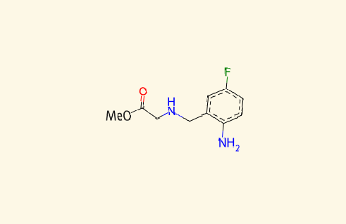 COC(=O)CNCc1cc(F)ccc1N